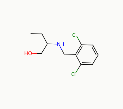 CCC(CO)NCc1c(Cl)cccc1Cl